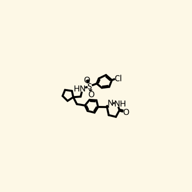 O=C1CCC(c2ccc(CC3(CNS(=O)(=O)c4ccc(Cl)cc4)CCCC3)cc2)=NN1